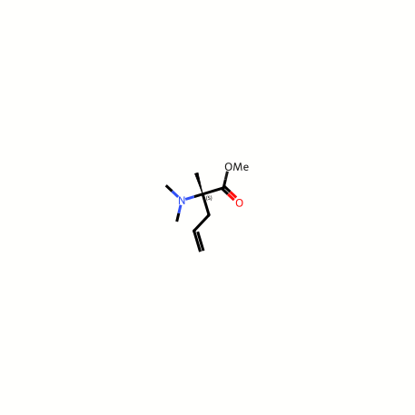 C=CC[C@@](C)(C(=O)OC)N(C)C